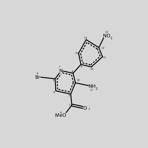 COC(=O)c1cc(Br)nc(-c2ccc([N+](=O)[O-])cc2)c1N